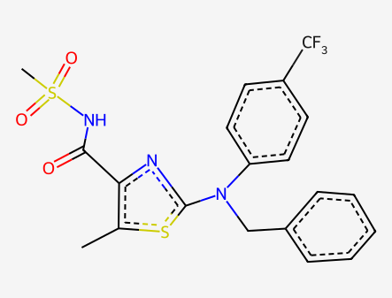 Cc1sc(N(Cc2ccccc2)c2ccc(C(F)(F)F)cc2)nc1C(=O)NS(C)(=O)=O